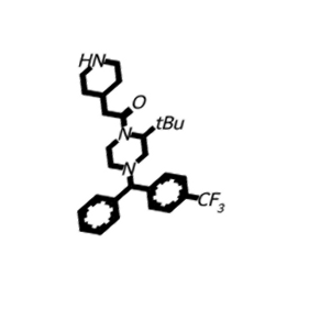 CC(C)(C)C1CN(C(c2ccccc2)c2ccc(C(F)(F)F)cc2)CCN1C(=O)CC1CCNCC1